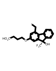 O=C(O)CCCOc1cc(CI)c2c(c1)[C@@](O)(C(F)(F)F)c1ccccc1-2